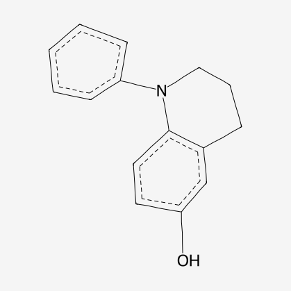 Oc1ccc2c(c1)CCCN2c1ccccc1